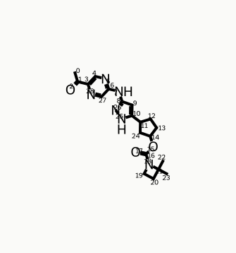 CC(=O)c1cnc(Nc2cc(C3CCC(OC(=O)N4CCC4(C)C)C3)[nH]n2)cn1